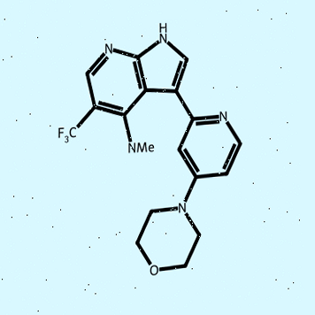 CNc1c(C(F)(F)F)cnc2[nH]cc(-c3cc(N4CCOCC4)ccn3)c12